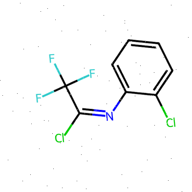 FC(F)(F)/C(Cl)=N\c1ccccc1Cl